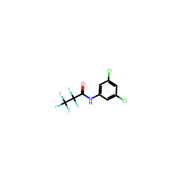 O=C(Nc1cc(Cl)cc(Cl)c1)C(F)(F)C(F)(F)F